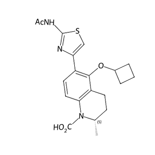 CC(=O)Nc1nc(-c2ccc3c(c2OC2CCC2)CC[C@H](C)N3C(=O)O)cs1